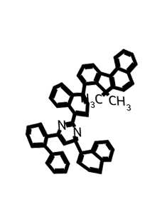 CC1(C)c2ccc3ccccc3c2-c2cccc(-c3ccc(-c4nc(-c5ccccc5-c5ccccc5)cc(-c5cccc6ccccc56)n4)c4ccccc34)c21